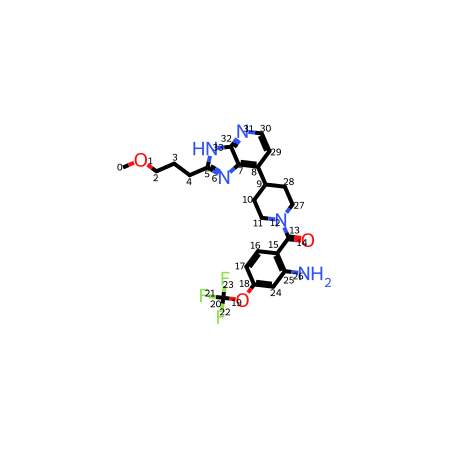 COCCCc1nc2c(C3CCN(C(=O)c4ccc(OC(F)(F)F)cc4N)CC3)ccnc2[nH]1